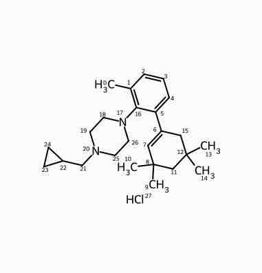 Cc1cccc(C2=CC(C)(C)CC(C)(C)C2)c1N1CCN(CC2CC2)CC1.Cl